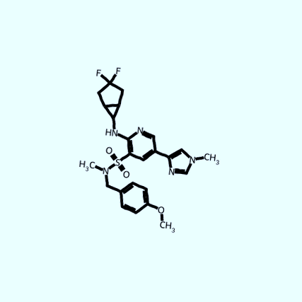 COc1ccc(CN(C)S(=O)(=O)c2cc(-c3cn(C)cn3)cnc2NC2C3CC(F)(F)CC32)cc1